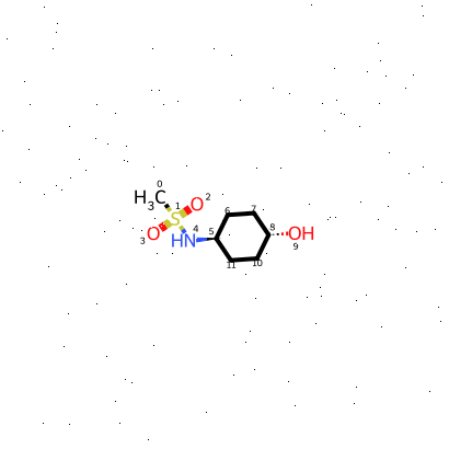 CS(=O)(=O)N[C@H]1CC[C@H](O)CC1